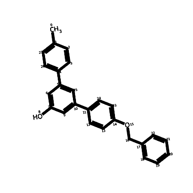 Cc1ccc(-c2cc(O)cc(-c3ccc(OCc4ccccc4)cc3)c2)cc1